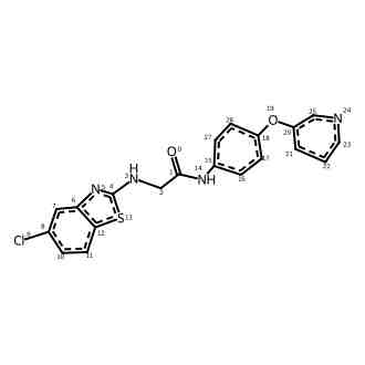 O=C(CNc1nc2cc(Cl)ccc2s1)Nc1ccc(Oc2cccnc2)cc1